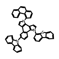 c1ccc2c(c1)ccc1cccc(-n3ccc4c5cc(-n6c7ccccc7c7ccccc76)ccc5c5c(ccn5-c5cccc6c5sc5ccccc56)c43)c12